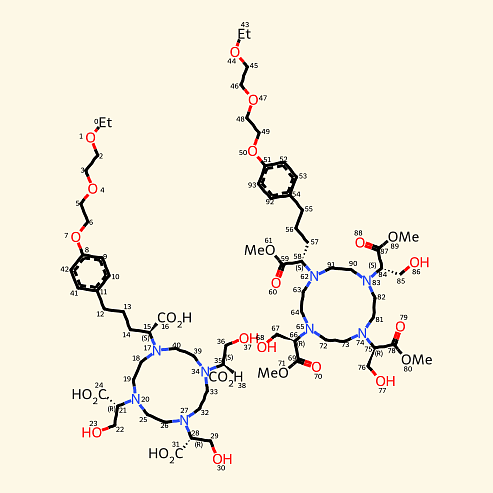 CCOCCOCCOc1ccc(CCC[C@@H](C(=O)O)N2CCN([C@H](CO)C(=O)O)CCN([C@H](CO)C(=O)O)CCN([C@@H](CO)C(=O)O)CC2)cc1.CCOCCOCCOc1ccc(CCC[C@@H](C(=O)OC)N2CCN([C@H](CO)C(=O)OC)CCN([C@H](CO)C(=O)OC)CCN([C@@H](CO)C(=O)OC)CC2)cc1